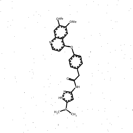 COc1cc2nccc(Oc3ccc(CC(=O)Nc4cc(N(C)C)[nH]n4)cc3)c2cc1OC